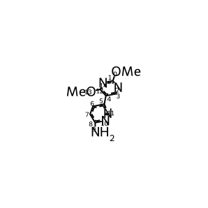 COc1ncc(-c2ccc(N)nn2)c(OC)n1